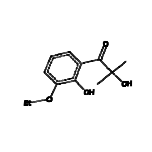 CCOc1cccc(C(=O)C(C)(C)O)c1O